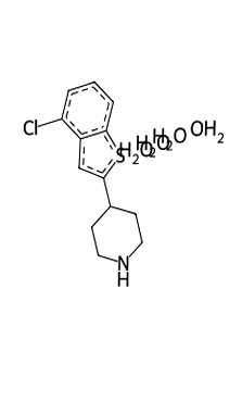 Clc1cccc2sc(C3CCNCC3)cc12.O.O.O.O